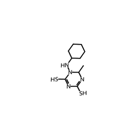 CC1N=C(S)N=C(S)N1NC1CCCCC1